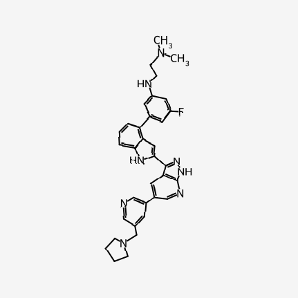 CN(C)CCNc1cc(F)cc(-c2cccc3[nH]c(-c4n[nH]c5ncc(-c6cncc(CN7CCCC7)c6)cc45)cc23)c1